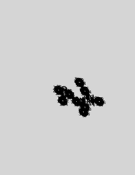 N=C(/N=C(\NCn1c2cc(-c3ccc4c(c3)N(c3ccccc3)c3ccccc3O4)ccc2c2c3ccccc3ccc21)c1ccc(-c2ccccc2)cc1)c1ccccc1